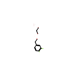 Fc1ccc(CCOCCCBr)cc1F